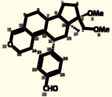 COC[C@]1(OC)CCC2C3CCC4=COCCC4=C3[C@@H](c3ccc(C=O)cc3)C[C@@]21C